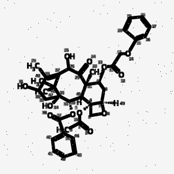 CC(=O)O[C@@]12CO[C@@H]1C[C@H](OC(=O)COc1ccccc1)[C@@]1(C)C(=O)C(O)C3=C(C)C(O)C[C@@](O)([C@@H](OC(=O)c4ccccc4)[C@H]21)C3(C)C